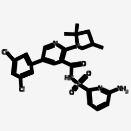 CC1CN(c2ncc(-c3cc(Cl)cc(Cl)c3)cc2C(=O)NS(=O)(=O)c2cccc(N)n2)C(C)(C)C1